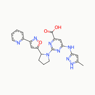 Cc1cc(Nc2cc(C(=O)O)nc(N3CCCC3c3cc(-c4ccccn4)no3)n2)n[nH]1